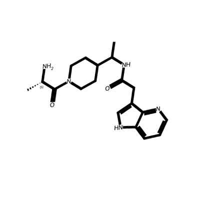 CC(NC(=O)Cc1c[nH]c2cccnc12)C1CCN(C(=O)[C@H](C)N)CC1